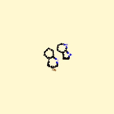 Br.c1ccc2ncccc2c1.c1cnc2[nH]ccc2c1